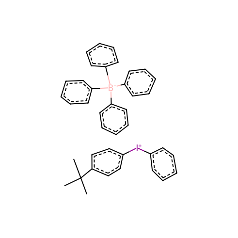 CC(C)(C)c1ccc([I+]c2ccccc2)cc1.c1ccc([B-](c2ccccc2)(c2ccccc2)c2ccccc2)cc1